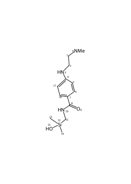 CNCCNc1ccc(C(=O)NC[Si](C)(C)O)cc1